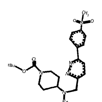 CCN(Cc1ccc(-c2ccc(S(C)(=O)=O)cc2)nn1)C1CCN(C(=O)OC(C)(C)C)CC1